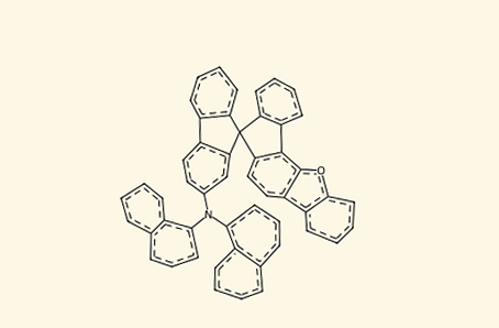 c1ccc2c(c1)-c1ccc(N(c3cccc4ccccc34)c3cccc4ccccc34)cc1C21c2ccccc2-c2c1ccc1c2oc2ccccc21